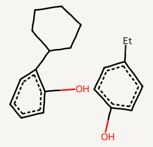 CCc1ccc(O)cc1.Oc1ccccc1C1CCCCC1